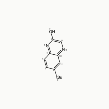 CC(C)(C)c1ccc2nc(O)cnc2c1